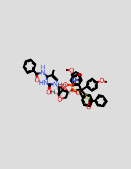 COc1ccc(C(OC[C@@]23CO[C@@H]([C@H](N4C=C(C)C(NC(=O)c5ccccc5)NC4=O)O2)[C@@H]3OP(SCCSC(=O)c2ccccc2)N2CCCC2)(c2ccccc2)c2ccc(OC)cc2)cc1